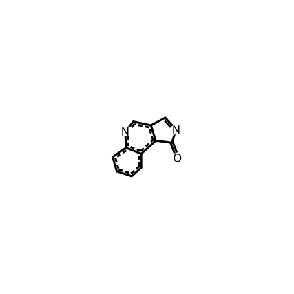 O=C1N=Cc2cnc3ccccc3c21